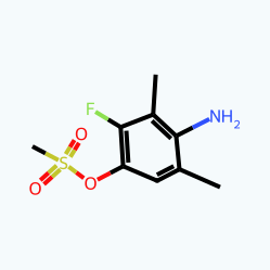 Cc1cc(OS(C)(=O)=O)c(F)c(C)c1N